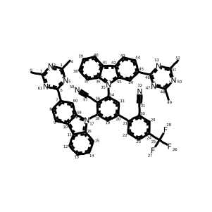 Cc1nc(C)nc(-c2ccc3c4ccccc4n(-c4cc(-c5ccc(C(F)(F)F)cc5C#N)cc(-n5c6ccccc6c6ccc(-c7nc(C)nc(C)n7)cc65)c4C#N)c3c2)n1